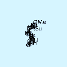 COCCN(Cc1ccc(-c2cc3nccc(Oc4ccc(NC(=O)NC5COC5)c(F)c4F)c3s2)nc1)C(=O)OC(C)(C)C